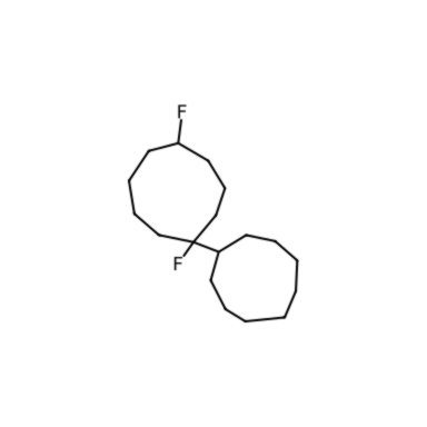 FC1CCCCC(F)(C2CCCCCCCC2)CCC1